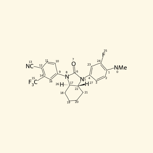 CNc1ccc(N2C(=O)N(c3ccc(C#N)c(C(F)(F)F)c3)[C@@H]3CCCC[C@H]32)cc1F